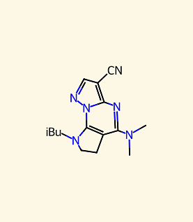 CCC(C)N1CCc2c(N(C)C)nc3c(C#N)cnn3c21